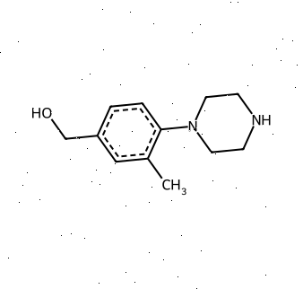 Cc1cc(CO)ccc1N1CCNCC1